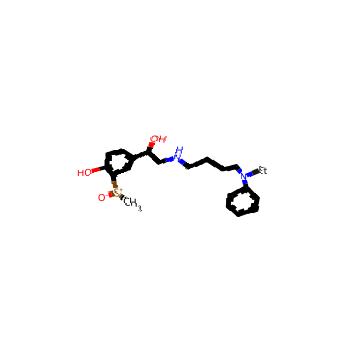 CCN(CCCCNCC(O)c1ccc(O)c([S+](C)[O-])c1)c1ccccc1